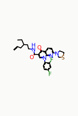 C=CCC(CC)CCNC(=O)c1cn(-c2ccc(F)cc2F)c2nc(N3CCSC3)ccc2c1=O